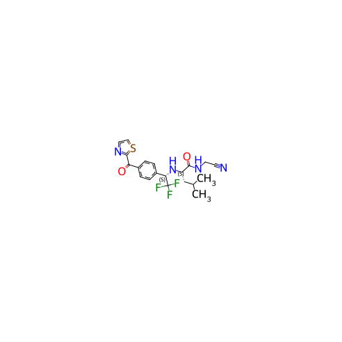 CC(C)C[C@H](N[C@@H](c1ccc(C(=O)c2nccs2)cc1)C(F)(F)F)C(=O)NCC#N